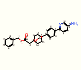 Nc1ccc(-c2ccc(C34CCC(CC(=O)OCc5ccccc5)(CC3)OC4)cc2)nc1